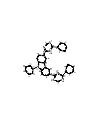 c1ccc(-c2ncnc(-c3ccc4c(c3)c3cc(-c5ncnc(-c6ccccc6)n5)ccc3n4-c3ccccc3)n2)cc1